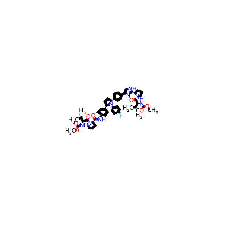 COC(=O)N[C@H](C(=O)N1CCC[C@H]1C(=O)Nc1ccc([C@H]2CC[C@H](c3ccc(-c4c[nH]c([C@@H]5CCCN5C(=O)[C@@H](NC(=O)OC)C(C)C)n4)cc3)N2c2ccc(F)cc2)cc1)C(C)C